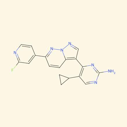 Nc1ncc(C2CC2)c(-c2cnn3nc(-c4ccnc(F)c4)ccc23)n1